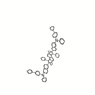 c1ccc(-c2ccc(N(c3ccccc3)c3ccc4cc(-c5oc6ccc7c(ccc8oc(-c9ccc%10cc(N(c%11ccccc%11)c%11ccc(-c%12ccccc%12)cc%11)ccc%10c9)c(-c9ccccc9)c87)c6c5-c5ccccc5)ccc4c3)cc2)cc1